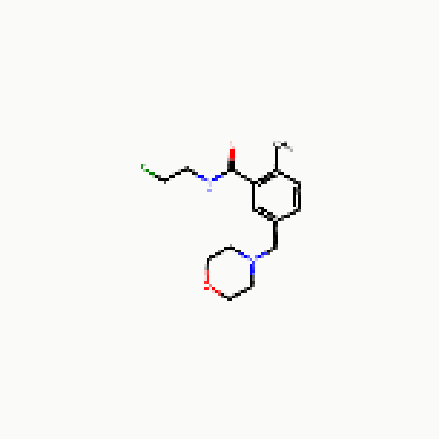 Cc1ccc(CN2CCOCC2)cc1C(=O)NCCF